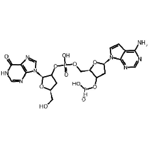 Nc1ncnc2c1ccn2[C@H]1CC(O[PH](=O)O)[C@@H](COP(=O)(O)OC2C[C@@H](CO)O[C@H]2n2cnc3c(=O)[nH]cnc32)O1